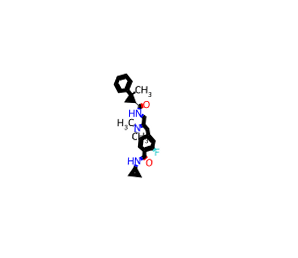 CN(C)C(CNC(=O)[C@@H]1C[C@]1(C)c1ccccc1)Cc1ccc(C(=O)NC2CC2)c(F)c1